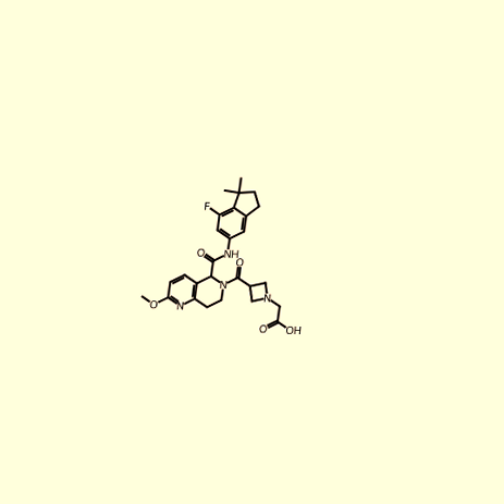 COc1ccc2c(n1)CCN(C(=O)C1CN(CC(=O)O)C1)C2C(=O)Nc1cc(F)c2c(c1)CCC2(C)C